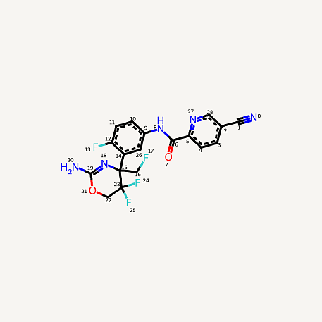 N#Cc1ccc(C(=O)Nc2ccc(F)c(C3(CF)N=C(N)OCC3(F)F)c2)nc1